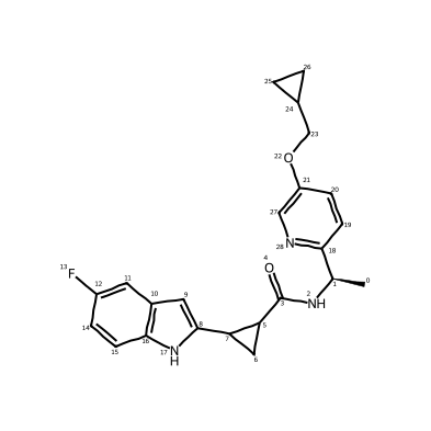 C[C@@H](NC(=O)C1CC1c1cc2cc(F)ccc2[nH]1)c1ccc(OCC2CC2)cn1